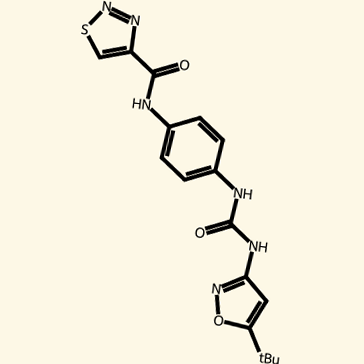 CC(C)(C)c1cc(NC(=O)Nc2ccc(NC(=O)c3csnn3)cc2)no1